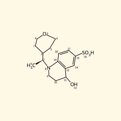 C[C@@H](C1CCOCC1)N1CCC(O)c2cc(S(=O)(=O)O)ccc21